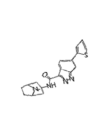 CN1C2CCC1CC(NC(=O)C1=NN=C3CC(c4cccs4)=CC=C31)C2